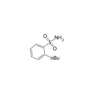 CCCCc1ccccc1S(N)(=O)=O